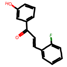 O=C(/C=C/c1ccccc1F)c1cccc(O)c1